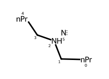 CCCCNCCCC.[N]